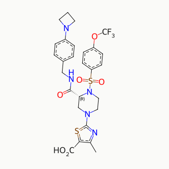 Cc1nc(N2CCN(S(=O)(=O)c3ccc(OC(F)(F)F)cc3)[C@@H](C(=O)NCc3ccc(N4CCC4)cc3)C2)sc1C(=O)O